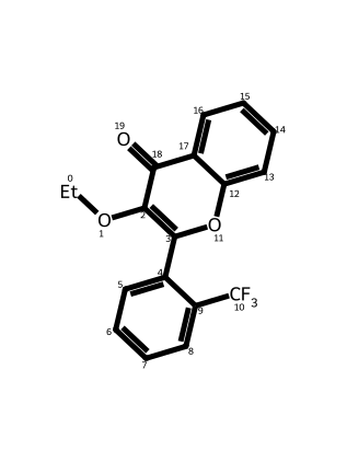 CCOc1c(-c2ccccc2C(F)(F)F)oc2ccccc2c1=O